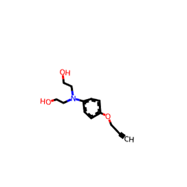 C#CCOc1ccc(N(CCO)CCO)cc1